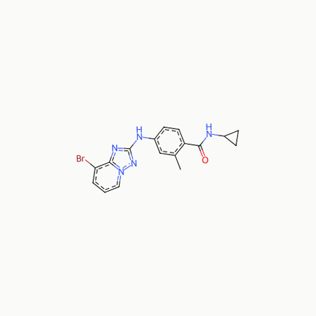 Cc1cc(Nc2nc3c(Br)cccn3n2)ccc1C(=O)NC1CC1